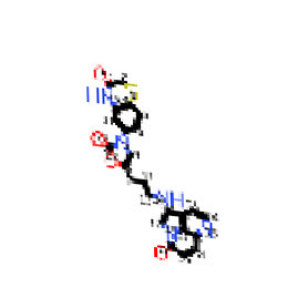 O=C1CSc2ccc(N3C[C@@H](CCCN[C@H]4Cn5c(=O)ccc6nccc4c65)OC3=O)cc2N1